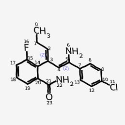 CC/C=C(/C=C(\N)c1ccc(Cl)cc1)c1c(F)cccc1C(N)=O